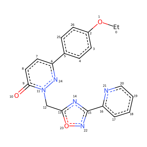 CCOc1ccc(-c2ccc(=O)n(Cc3nc(-c4ccccn4)no3)n2)cc1